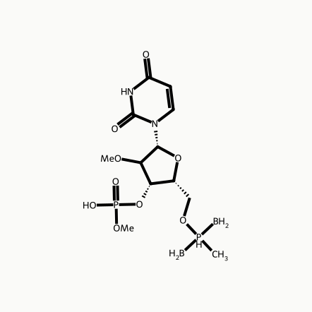 B[PH](B)(C)OC[C@H]1O[C@@H](n2ccc(=O)[nH]c2=O)C(OC)[C@H]1OP(=O)(O)OC